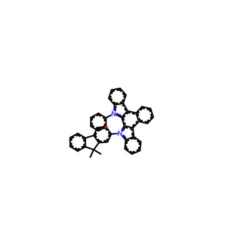 CC1(C)c2ccccc2-c2ccc(-n3c4ccccc4c4c5ccccc5c5c6ccccc6n(-c6ccccc6)c5c43)cc21